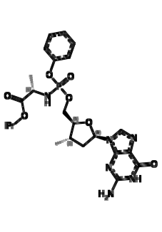 CC(C)OC(=O)[C@H](C)NP(=O)(OC[C@H]1O[C@@H](n2cnc3c(=O)[nH]c(N)nc32)C[C@@H]1C)Oc1ccccc1